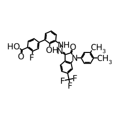 Cc1ccc(N2C(=O)C(=NNc3cccc(-c4ccc(C(=O)O)c(F)c4)c3O)c3ccc(C(F)(F)F)cc32)cc1C